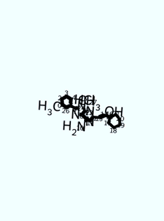 Cc1cccc(-c2nc3c(N)nc(C#CC4(O)CCCCC4)nc3n2C)c1.Cl